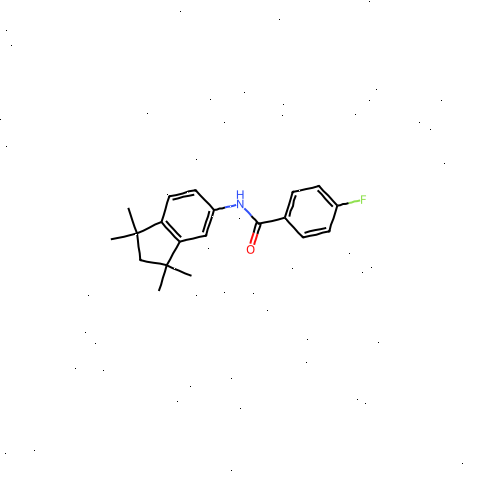 CC1(C)CC(C)(C)c2cc(NC(=O)c3ccc(F)cc3)ccc21